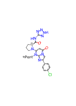 CCCCCn1c(N2CCC[C@H]2C(=O)Nc2nn[nH]n2)cc(=O)n2cc(-c3ccc(Cl)cc3)nc12